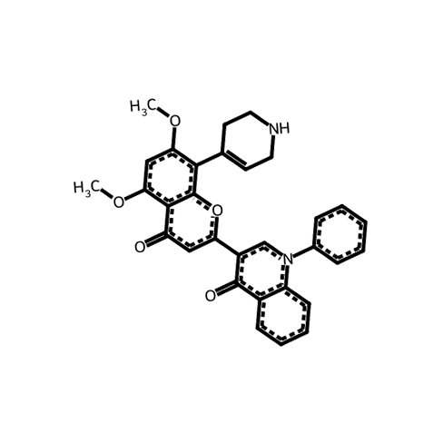 COc1cc(OC)c2c(=O)cc(-c3cn(-c4ccccc4)c4ccccc4c3=O)oc2c1C1=CCNCC1